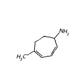 CC1=CC=CC(N)CC1